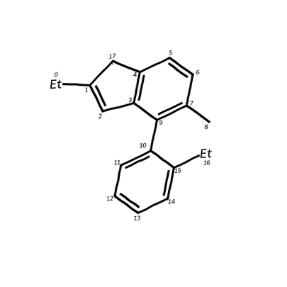 CCC1=Cc2c(ccc(C)c2-c2ccccc2CC)[CH]1